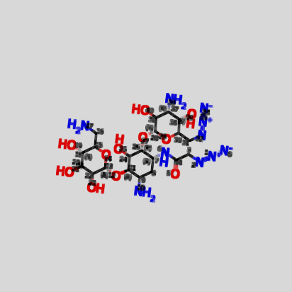 [N-]=[N+]=NCC(=O)N[C@@H]1CC(N)[C@@H](O[C@H]2OC(CN)[C@@H](O)[C@H](O)C2O)C(O)[C@@H]1O[C@H]1OC(CN=[N+]=[N-])[C@@H](O)[C@@H](N)C1O